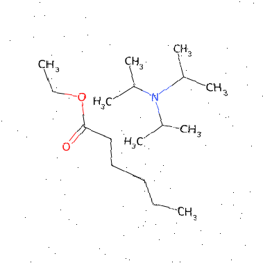 CC(C)N(C(C)C)C(C)C.CCCCCC(=O)OCC